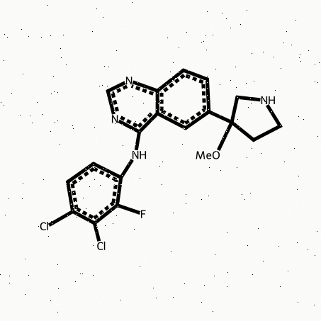 COC1(c2ccc3ncnc(Nc4ccc(Cl)c(Cl)c4F)c3c2)CCNC1